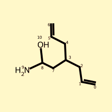 C=CCC(CC=C)CC(N)O